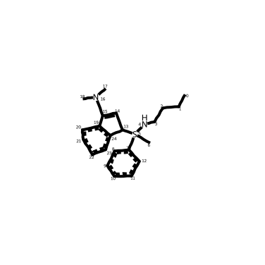 CCCCNS(C)(c1ccccc1)C1C=C(N(C)C)c2ccccc21